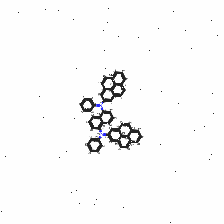 c1ccc(N(c2cc3ccc4cccc5ccc(c2)c3c45)c2cccc3c(N(c4ccccc4)c4cc5ccc6cccc7ccc(c4)c5c67)cccc23)cc1